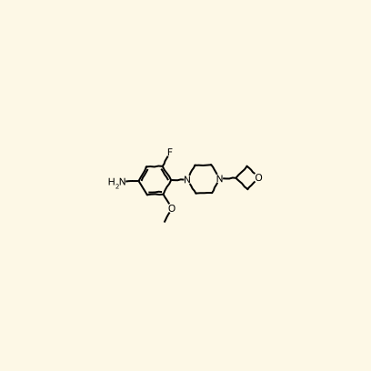 COc1cc(N)cc(F)c1N1CCN(C2COC2)CC1